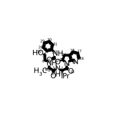 CC(C)[C@H](NC(=O)[C@H](C)NCCO)C(=O)N1c2ncccc2C[C@@H]1OC(=O)Nc1ccccc1